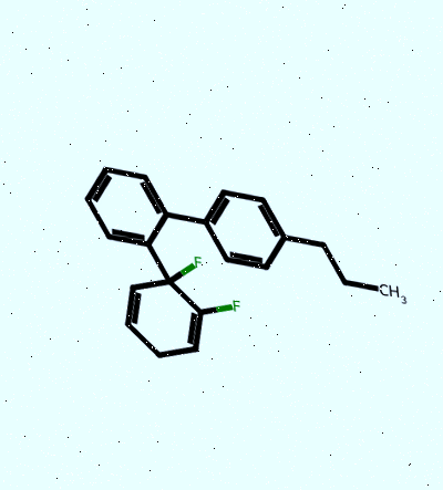 CCCc1ccc(-c2ccccc2C2(F)C=CCC=C2F)cc1